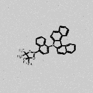 CC1(C)OB(c2ccc(-n3c4ccc5ccccc5c4c4c5ccccc5ccc43)c3ccccc23)OC1(C)C